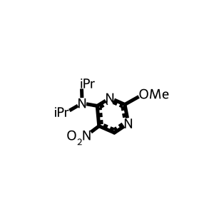 COc1ncc([N+](=O)[O-])c(N(C(C)C)C(C)C)n1